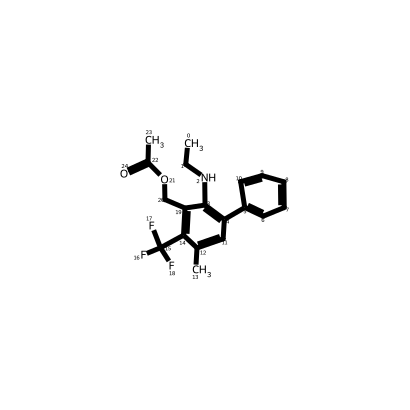 CCNc1c(-c2ccccc2)cc(C)c(C(F)(F)F)c1COC(C)=O